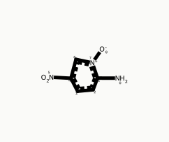 Nc1ccc([N+](=O)[O-])c[n+]1[O-]